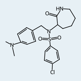 CN(C)c1ccc(CN(C2CCCCNC2=O)S(=O)(=O)c2ccc(Cl)cc2)cc1